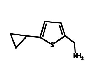 NCc1ccc(C2CC2)s1